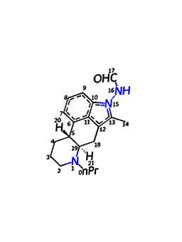 CCCN1CCC[C@@H]2c3cccc4c3c(c(C)n4NC=O)C[C@H]21